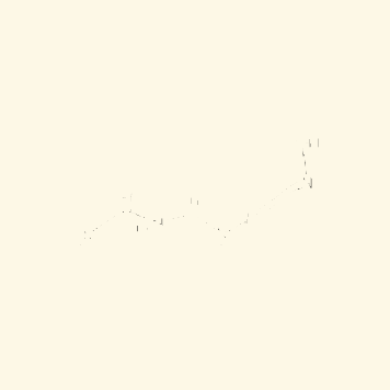 [NH2][InH][NH][InH][NH][In]=[N]O